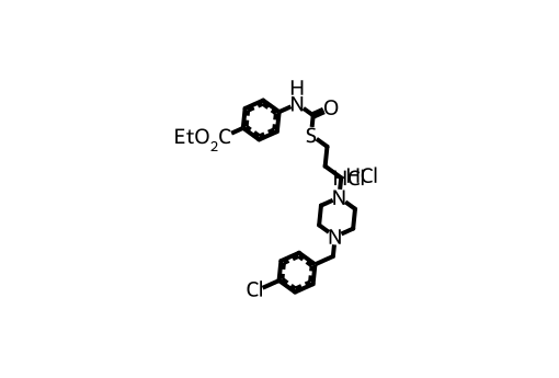 CCOC(=O)c1ccc(NC(=O)SCCCN2CCN(Cc3ccc(Cl)cc3)CC2)cc1.Cl.Cl